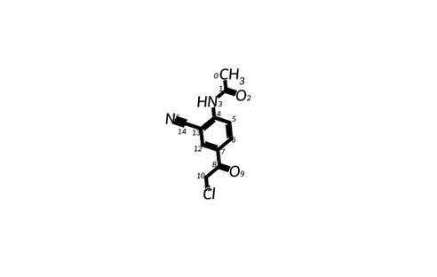 CC(=O)Nc1ccc(C(=O)CCl)cc1C#N